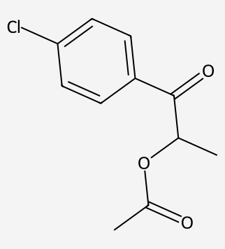 CC(=O)OC(C)C(=O)c1ccc(Cl)cc1